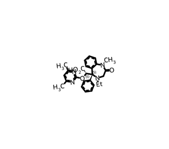 CCN1CC(=O)N(C)c2ccccc2[C@@]1(c1ccccc1)[C@H](Oc1nc(C)cc(C)n1)C(=O)O